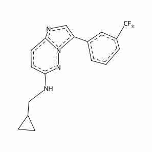 FC(F)(F)c1cccc(-c2cnc3ccc(NCC4CC4)nn23)c1